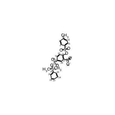 Cc1ccc(S(=O)(=O)Oc2ccc(S(=O)(=O)OS(C)(C)c3ccccc3)cc2[N+](=O)[O-])cc1